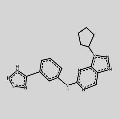 c1cc(Nc2ncc3nnn(C4CCCC4)c3n2)cc(-c2nnn[nH]2)c1